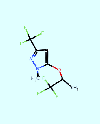 CC(Oc1[c]c(C(F)(F)F)nn1C)C(F)(F)F